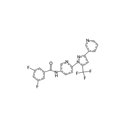 O=C(Nc1ccc(-n2nc(-c3cccnc3)cc2C(F)(F)F)nc1)c1cc(F)cc(F)c1